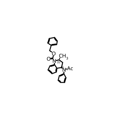 CC(=O)N(c1ccccc1)[C@@H]1C[C@H](C)N(C(=O)OCc2ccccc2)c2ccccc21